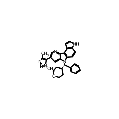 Cc1nnn(C)c1-c1cnc2c3c4cc[nH]c4ccc3n([C@H](c3ccccc3)C3CCOCC3)c2c1